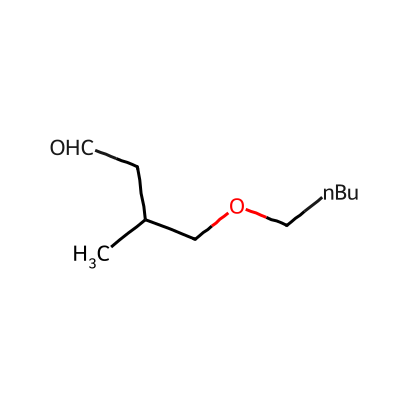 CCCCCOCC(C)CC=O